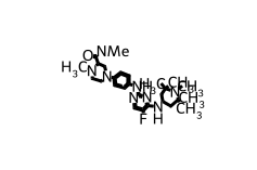 CNC(=O)C1CN(c2ccc(Nc3ncc(F)c(NC4CC(C)(C)N(C)C(C)(C)C4)n3)cc2)CCN1C